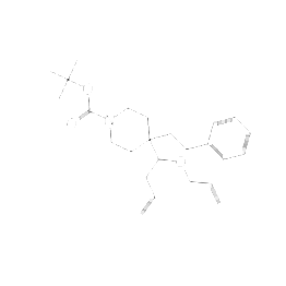 C=CCOC(CC=C)C1(CCc2ccccc2)CCN(C(=O)OC(C)(C)C)CC1